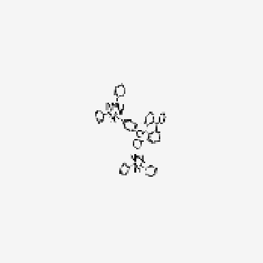 O=C1c2cccc(-c3cccc(-c4nc(-c5ccccc5)nc(-c5ccccc5)n4)c3)c2C(=O)c2c1cccc2-c1cccc(-c2nc(-c3ccccc3)nc(-c3ccccc3)n2)c1